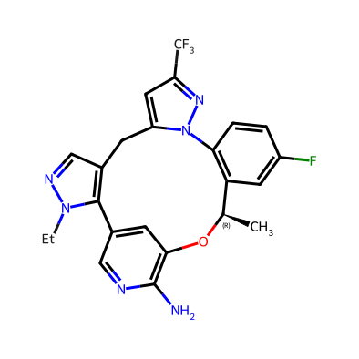 CCn1ncc2c1-c1cnc(N)c(c1)O[C@H](C)c1cc(F)ccc1-n1nc(C(F)(F)F)cc1C2